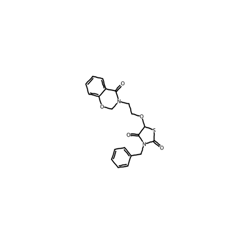 O=C1c2ccccc2OCN1CCOC1SC(=O)N(Cc2ccccc2)C1=O